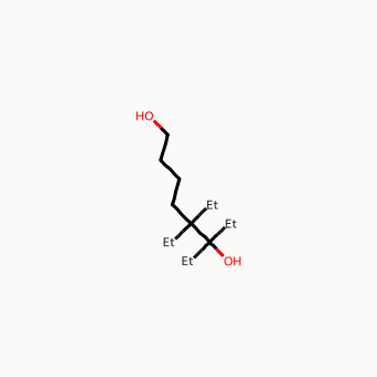 CCC(O)(CC)C(CC)(CC)CCCCO